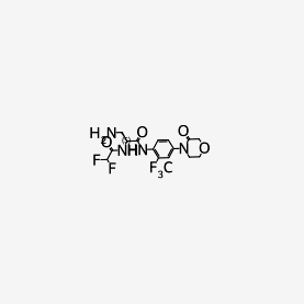 NC[C@H](NC(=O)C(F)F)C(=O)Nc1ccc(N2CCOCC2=O)cc1C(F)(F)F